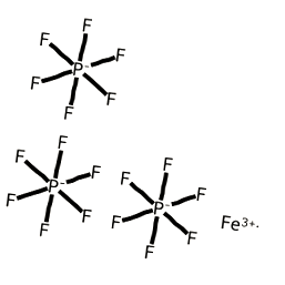 F[P-](F)(F)(F)(F)F.F[P-](F)(F)(F)(F)F.F[P-](F)(F)(F)(F)F.[Fe+3]